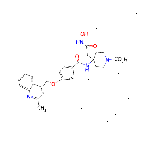 Cc1cc(COc2ccc(C(=O)NC3(CC(=O)NO)CCN(C(=O)O)CC3)cc2)c2ccccc2n1